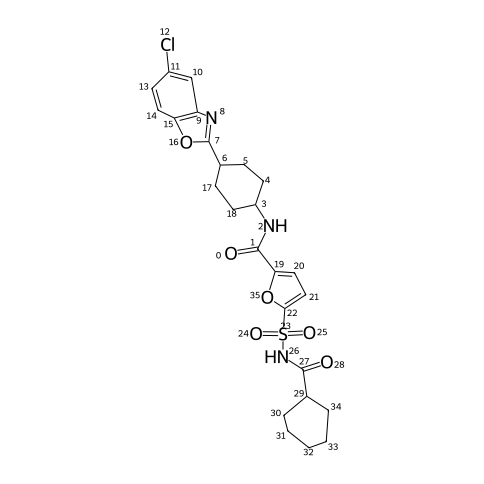 O=C(NC1CCC(c2nc3cc(Cl)ccc3o2)CC1)c1ccc(S(=O)(=O)NC(=O)C2CCCCC2)o1